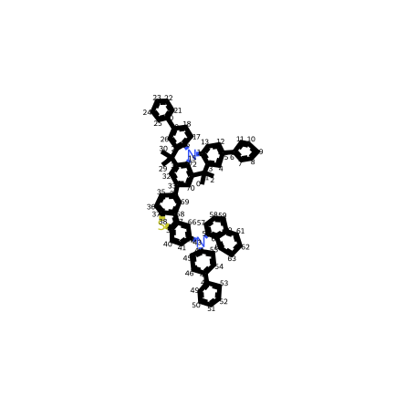 CC1(C)c2cc(-c3ccccc3)ccc2N2c3ccc(-c4ccccc4)cc3C(C)(C)c3cc(-c4ccc5sc6ccc(N(c7ccc(-c8ccccc8)cc7)c7cccc8ccccc78)cc6c5c4)cc1c32